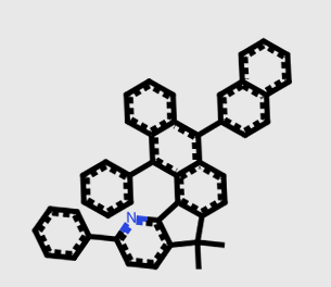 CC1(C)c2ccc(-c3ccccc3)nc2-c2c1ccc1c(-c3ccc4ccccc4c3)c3ccccc3c(-c3ccccc3)c21